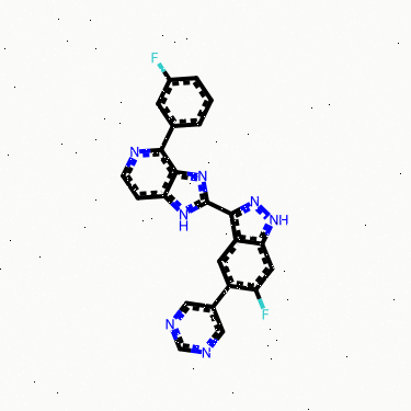 Fc1cccc(-c2nccc3[nH]c(-c4n[nH]c5cc(F)c(-c6cncnc6)cc45)nc23)c1